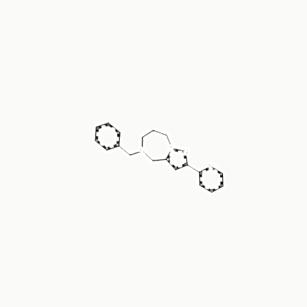 c1ccc(CN2CCCn3nc(-c4ccccn4)cc3C2)cc1